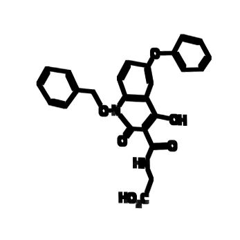 O=C(O)CNC(=O)c1c(O)c2cc(Oc3ccccc3)ccc2n(OCc2ccccc2)c1=O